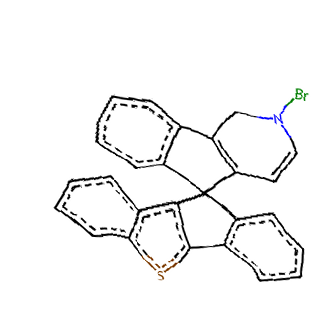 BrN1C=CC2=C(C1)c1ccccc1C21c2ccccc2-c2sc3ccccc3c21